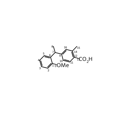 COc1ccccc1C(C)c1ccc(C(=O)O)c(C)c1